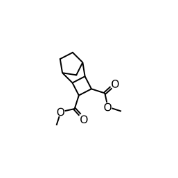 COC(=O)C1C(C(=O)OC)C2C3CCC(C3)C12